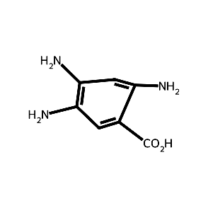 Nc1cc(N)c(C(=O)O)cc1N